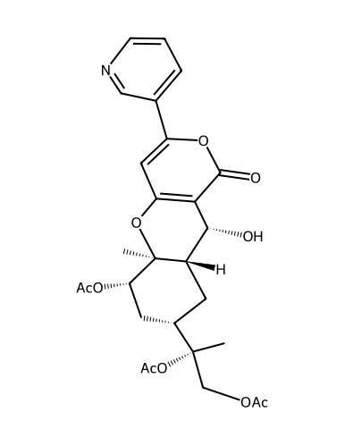 CC(=O)OC[C@@](C)(OC(C)=O)[C@@H]1C[C@H](OC(C)=O)[C@@]2(C)Oc3cc(-c4cccnc4)oc(=O)c3[C@H](O)[C@@H]2C1